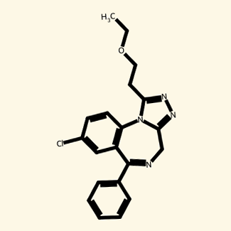 CCOCCc1nnc2n1-c1ccc(Cl)cc1C(c1ccccc1)=NC2